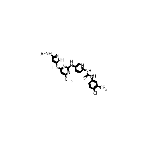 CC(=O)Nc1cc(Nc2cc(C)nc(Nc3ccc(NC(=S)Nc4ccc(Cl)c(C(F)(F)F)c4)nc3)n2)[nH]n1